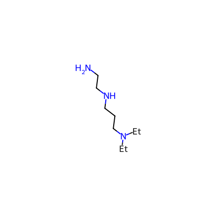 CCN(CC)CCCNCCN